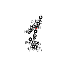 CC(C)Oc1ccccc1[C@@H]1CN([C@@H]2COC(C)(C)c3nc(C(F)(F)F)c4c(c32)C(C)(C)CCO4)CCN1C1CC2(CCN(c3ccc(C(=O)NS(=O)(=O)c4cc5c(c([N+](=O)[O-])c4)N[C@H](C4CCOCC4)CO5)c(N4c5cc6cc[nH]c6nc5O[C@H]5COCC[C@@H]54)c3)CC2)C1